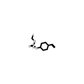 C=CC1CCC(O[PH](=O)OCI)CC1